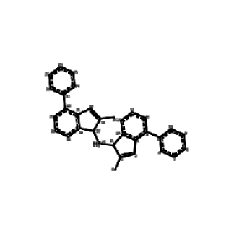 CC1=Cc2c(-c3ccccc3)cccc2[CH]1[Hf][CH]1C(C)=Cc2c(-c3ccccc3)cccc21